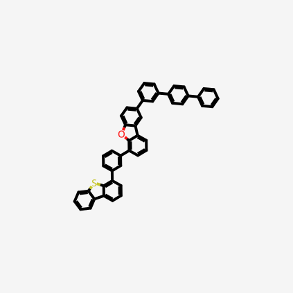 c1ccc(-c2ccc(-c3cccc(-c4ccc5oc6c(-c7cccc(-c8cccc9c8sc8ccccc89)c7)cccc6c5c4)c3)cc2)cc1